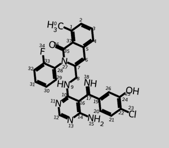 Cc1cccc2cc(CNc3ncnc(N)c3C(=N)c3ccc(Cl)c(O)c3)n(-c3ccccc3F)c(=O)c12